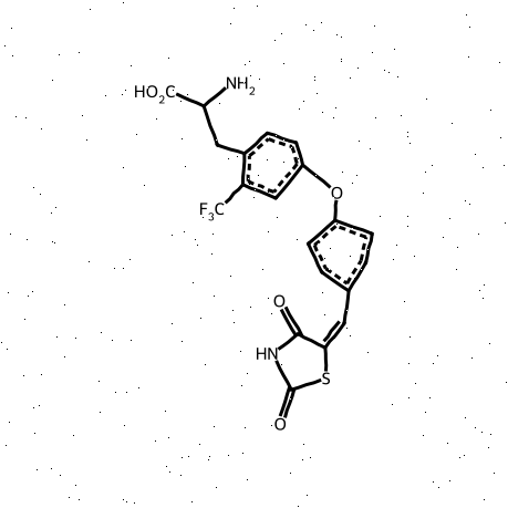 NC(Cc1ccc(Oc2ccc(C=C3SC(=O)NC3=O)cc2)cc1C(F)(F)F)C(=O)O